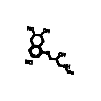 CC(C)(C)NCC(O)COc1cccc2c1C[C@H](O)[C@H](O)C2.Cl